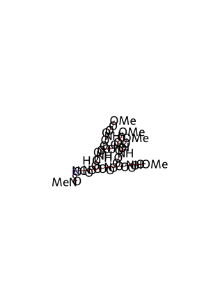 CNC(=O)c1ccc(/C=N\OCCCCNC(=O)COC(COCCOCCNC(=O)COC(COCCOCCNC(=O)COCCOCCOC)COCCOCCNC(=O)COCCOCCOC)COCCOCCNC(=O)COC(COCCOCCNC(=O)COCCOCCOC)COCCOCCNC(=O)COCCOCCOC)cc1